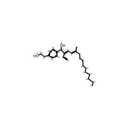 C=C/C(=C\C=C(/C)CCCCCCCCCC)C(O)c1ccc(CCO)cc1